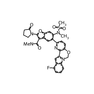 CNC(=O)c1c(N2CCCC2=O)oc2cc(N(C)S(C)(=O)=O)c(-c3ccc4c(n3)-c3cc5c(F)cccc5n3CO4)cc12